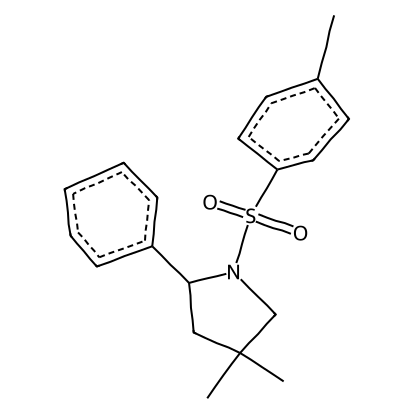 Cc1ccc(S(=O)(=O)N2CC(C)(C)CC2c2ccccc2)cc1